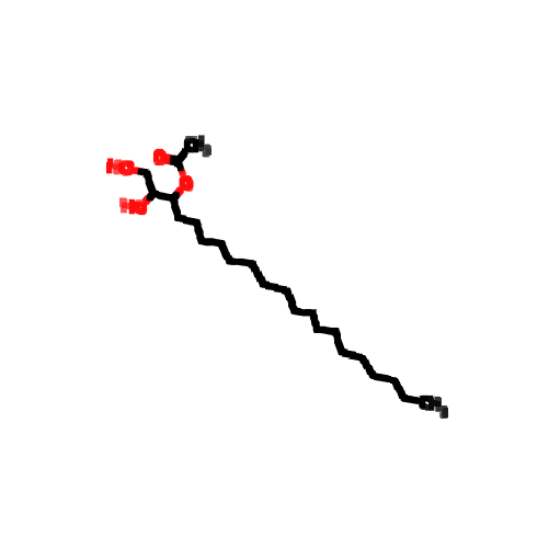 CCCCCCCCCCCCCCCCCCC(OC(C)=O)C(O)CO